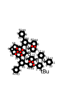 CC(C)(C)c1cc2c3c(c1)N(c1ccccc1)c1ccccc1B3c1cc3c(cc1S2)N(c1c(-c2ccccc2)cc(-c2ccccc2)cc1-c1ccccc1)c1cc(N2C4CC5CC6CC2CC56C4)cc2c1B3c1ccccc1N2c1c(-c2ccccc2)cc(-c2ccccc2)cc1-c1ccccc1